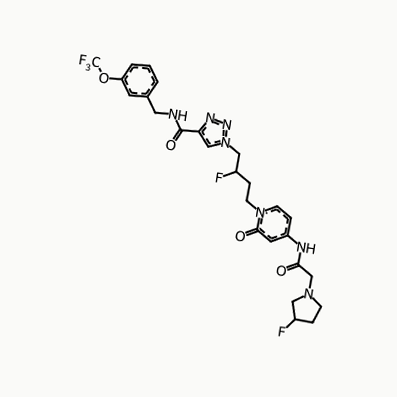 O=C(CN1CCC(F)C1)Nc1ccn(CCC(F)Cn2cc(C(=O)NCc3cccc(OC(F)(F)F)c3)nn2)c(=O)c1